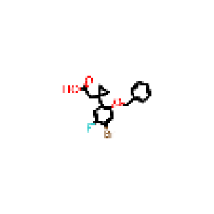 O=C(O)CC1(c2cc(F)c(Br)cc2OCc2ccccc2)CC1